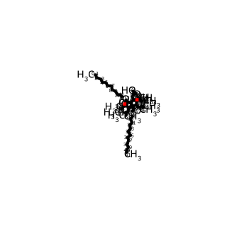 CCCCCCCCCCCCCOC(=O)C(C(CC(=O)O)C(=O)O)C(C(=O)OCCCCCCCCCCCCC)(C1CC(C)(C)N(C)C(C)(C)C1)C1CC(C)(C)N(C)C(C)(C)C1